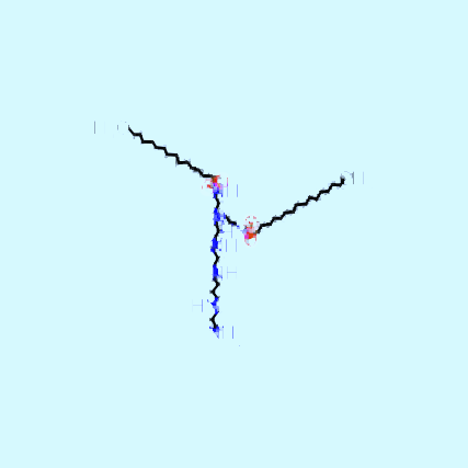 CCCCCCCCCCCCCCCCS(=O)(=O)NCCCN(CCCNCCCNCCCCNCCCN)CCCNS(=O)(=O)CCCCCCCCCCCCCCCC